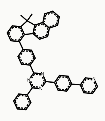 CC1(C)c2cccc(-c3ccc(-c4nc(-c5ccccc5)nc(-c5ccc(-c6cccnc6)cc5)n4)cc3)c2-c2ccc3ccccc3c21